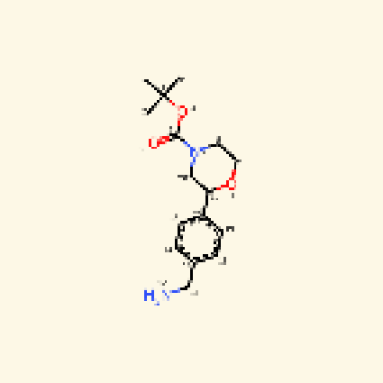 CC(C)(C)OC(=O)N1CCOC(c2ccc(CN)cc2)C1